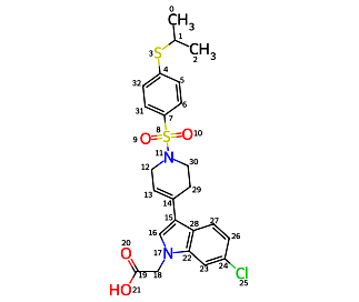 CC(C)Sc1ccc(S(=O)(=O)N2CC=C(c3cn(CC(=O)O)c4cc(Cl)ccc34)CC2)cc1